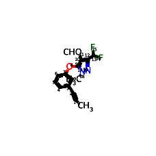 CC#Cc1cccc(Oc2c(C=O)c(C(F)F)nn2C)c1